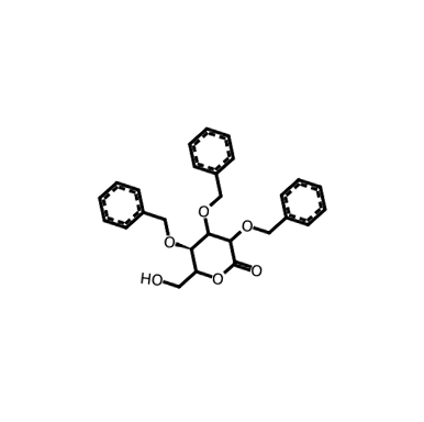 O=C1OC(CO)[C@@H](OCc2ccccc2)C(OCc2ccccc2)C1OCc1ccccc1